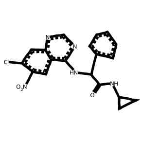 O=C(NC1CC1)C(Nc1ncnc2cc(Cl)c([N+](=O)[O-])cc12)c1ccccc1